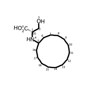 O=C(O)[C@H](CO)NC1CCCCCCCCCCCCC1